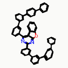 c1ccc(-c2ccc(-c3cccc(-c4cccc(-c5nc(-c6cccc(-c7cccc(-c8cccc(-c9ccccc9)c8)c7)c6)nc6oc7ccccc7c56)c4)c3)cc2)cc1